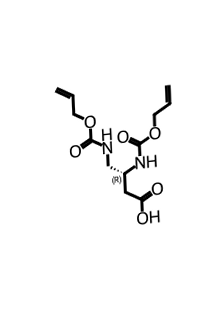 C=CCOC(=O)NC[C@@H](CC(=O)O)NC(=O)OCC=C